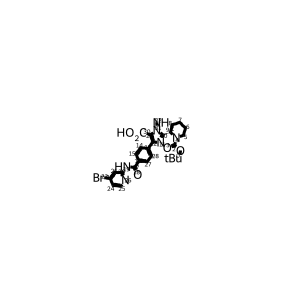 CC(C)(C)OC(=O)N1CCCC[C@H]1c1nc(-c2ccc(C(=O)Nc3cc(Br)ccn3)cc2)c(C(=O)O)n1N